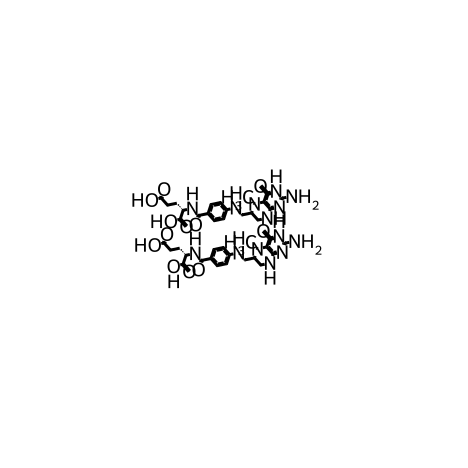 CN1c2c(nc(N)[nH]c2=O)NCC1CNc1ccc(C(=O)N[C@@H](CCC(=O)O)C(=O)O)cc1.CN1c2c(nc(N)[nH]c2=O)NCC1CNc1ccc(C(=O)N[C@@H](CCC(=O)O)C(=O)O)cc1